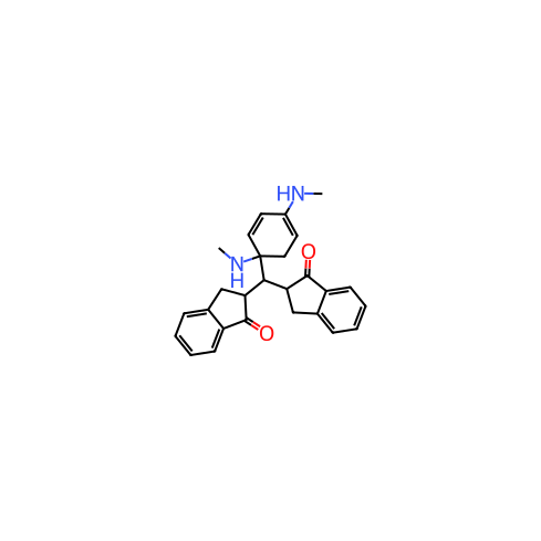 CNC1=CCC(NC)(C(C2Cc3ccccc3C2=O)C2Cc3ccccc3C2=O)C=C1